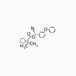 CC1(C)C(C(=O)OC(C#N)c2cccc(Oc3ccccc3)c2)C12CCCC2